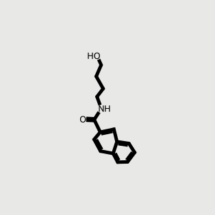 O=C(NCCCCO)c1ccc2ccccc2c1